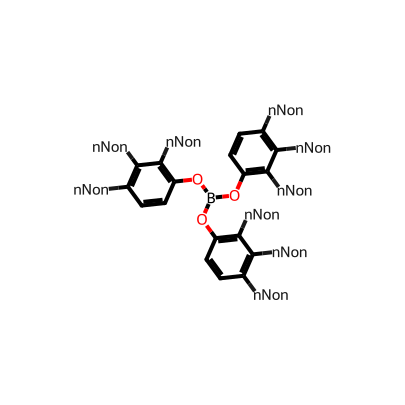 CCCCCCCCCc1ccc(OB(Oc2ccc(CCCCCCCCC)c(CCCCCCCCC)c2CCCCCCCCC)Oc2ccc(CCCCCCCCC)c(CCCCCCCCC)c2CCCCCCCCC)c(CCCCCCCCC)c1CCCCCCCCC